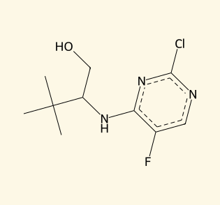 CC(C)(C)C(CO)Nc1nc(Cl)ncc1F